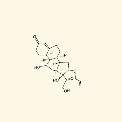 C=CCOC1C[C@H]2[C@@H]3CCC4=CC(=O)CC[C@]4(C)[C@H]3C(O)C[C@]2(C)[C@@]1(O)C(=O)CO